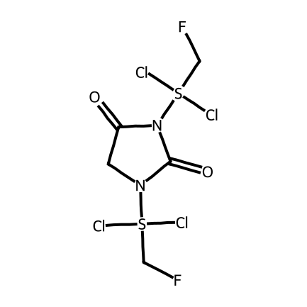 O=C1CN(S(Cl)(Cl)CF)C(=O)N1S(Cl)(Cl)CF